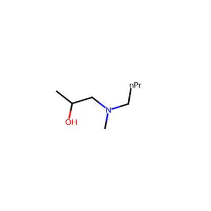 CCCCN(C)CC(C)O